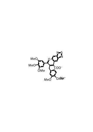 COc1ccc(C/C(C(=O)c2cc(OC)c(OC)c(OC)c2)=C(\C(=O)[O-])c2ccc3nsnc3c2)cc1OC.[Na+]